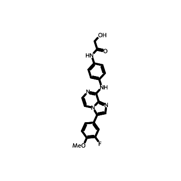 COc1ccc(-c2cnc3c(Nc4ccc(NC(=O)CO)cc4)nccn23)cc1F